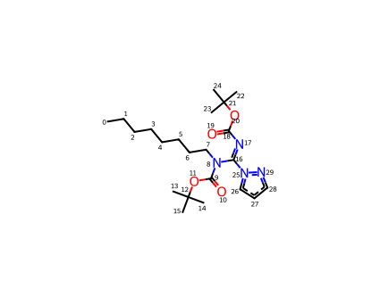 CCCCCCCCN(C(=O)OC(C)(C)C)/C(=N\C(=O)OC(C)(C)C)n1cccn1